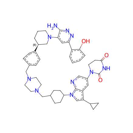 Nc1nnc(-c2ccccc2O)cc1N1CCC[C@H](c2ccc(CN3CCN(CC4CCC(n5cc(C6CC6)c6cc(N7CCC(=O)NC7=O)cnc65)CC4)CC3)cc2)C1